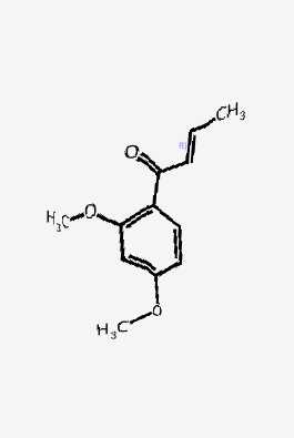 C/C=C/C(=O)c1ccc(OC)cc1OC